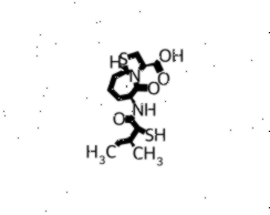 CC[C@H](C)C(S)C(=O)N[C@H]1CCC[C@H]2SC[C@@H](C(=O)O)N2C1=O